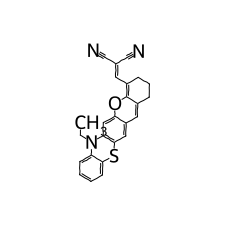 CCN1c2ccccc2Sc2cc3c(cc21)OC1=C(C=C(C#N)C#N)CCCC1=C3